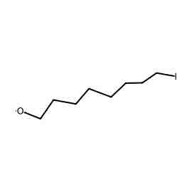 [O]CCCCCCCCI